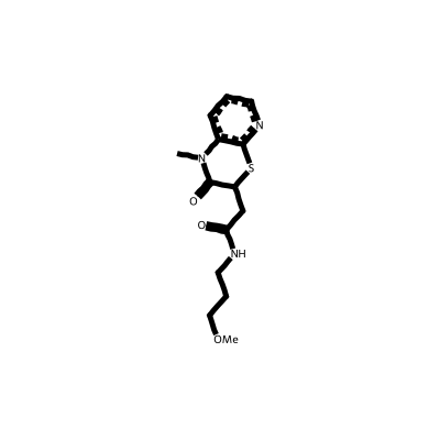 COCCCNC(=O)CC1Sc2ncccc2N(C)C1=O